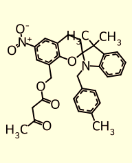 CC(=O)CC(=O)OCc1cc([N+](=O)[O-])cc2c1OC1(CC2)N(Cc2ccc(C)cc2)c2ccccc2C1(C)C